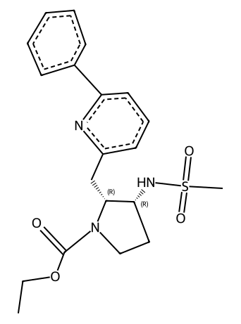 CCOC(=O)N1CC[C@@H](NS(C)(=O)=O)[C@H]1Cc1cccc(-c2ccccc2)n1